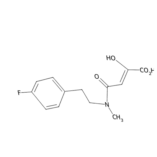 CN(CCc1ccc(F)cc1)C(=O)C=C(O)C(=O)O